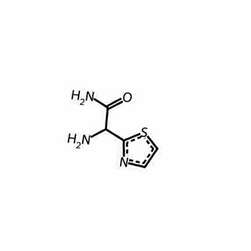 NC(=O)C(N)c1nccs1